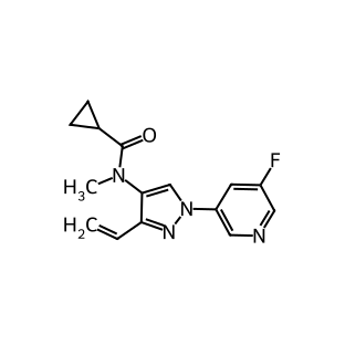 C=Cc1nn(-c2cncc(F)c2)cc1N(C)C(=O)C1CC1